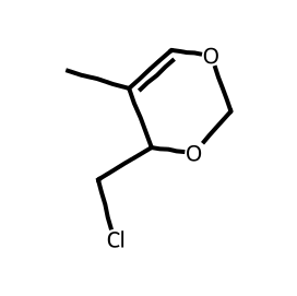 CC1=COCOC1CCl